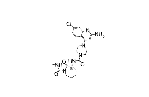 CNC(=O)N1CCCC[C@@H](NC(=O)N2CCN(c3cc(N)nc4cc(Cl)ccc34)CC2)C1=O